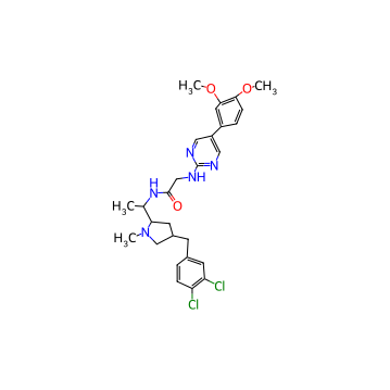 COc1ccc(-c2cnc(NCC(=O)NC(C)C3CC(Cc4ccc(Cl)c(Cl)c4)CN3C)nc2)cc1OC